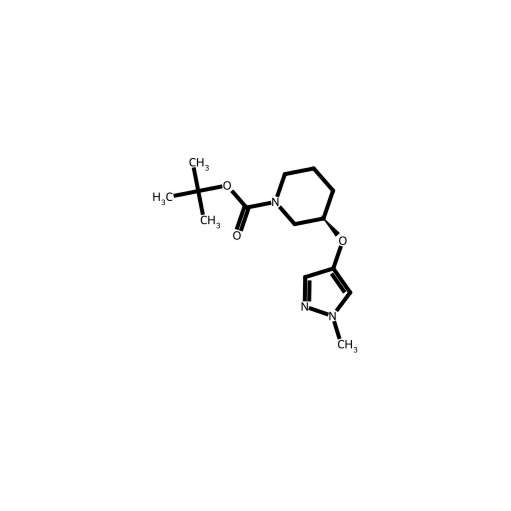 Cn1cc(O[C@@H]2CCCN(C(=O)OC(C)(C)C)C2)cn1